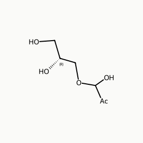 CC(=O)C(O)OC[C@H](O)CO